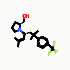 CC(C)=C[C@@H](CC(C)(C)c1ccc(C(F)(F)F)cc1)N1CCC[C@@H]1CO